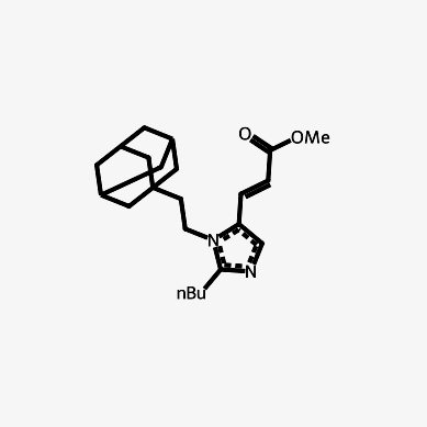 CCCCc1ncc(/C=C/C(=O)OC)n1CCC12CC3CC(CC(C3)C1)C2